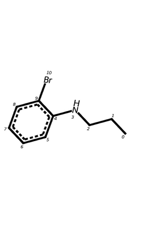 CCCNc1ccccc1Br